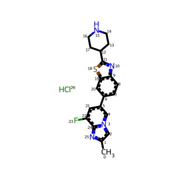 Cc1cn2cc(-c3ccc4nc(C5CCNCC5)sc4c3)cc(F)c2n1.Cl